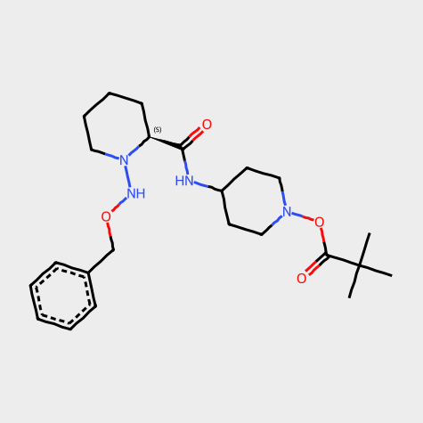 CC(C)(C)C(=O)ON1CCC(NC(=O)[C@@H]2CCCCN2NOCc2ccccc2)CC1